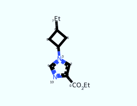 CCOC(=O)c1cn(C2CC(CC)C2)cn1